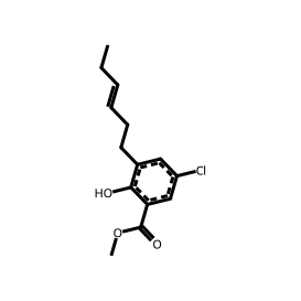 CC/C=C/CCc1cc(Cl)cc(C(=O)OC)c1O